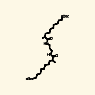 CCCCCCCCCCCCCCCCCCC(C)C(=O)NCCCNC(=O)C(C)CCCCCCCCCCCCCCCCCC